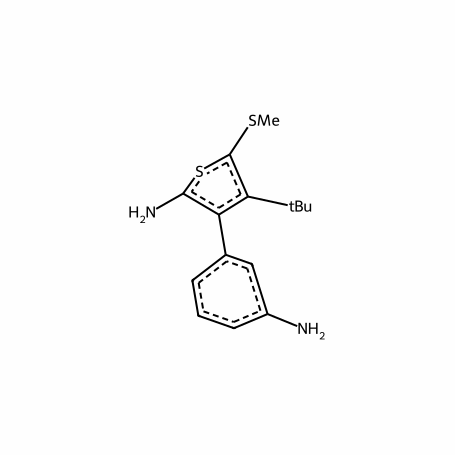 CSc1sc(N)c(-c2cccc(N)c2)c1C(C)(C)C